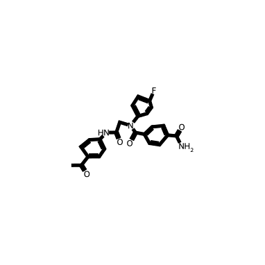 CC(=O)c1ccc(NC(=O)CN(C(=O)c2ccc(C(N)=O)cc2)c2ccc(F)cc2)cc1